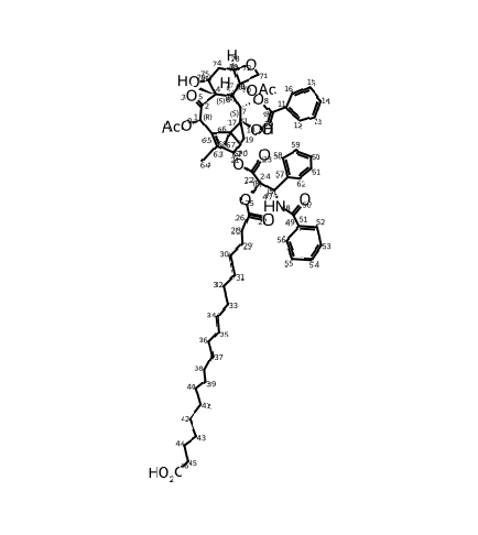 CC(=O)O[C@H]1C(=O)[C@@]2(C)[C@H]([C@H](OC(=O)c3ccccc3)[C@]3(O)C[C@H](OC(=O)[C@H](OC(=O)CCCCCCCCCCCCCCCCCCC(=O)O)[C@@H](NC(=O)c4ccccc4)c4ccccc4)C(C)=C1C3(C)C)[C@]1(OC(C)=O)CO[C@@H]1C[C@@H]2O